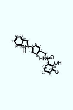 O=C(NCc1ccc(-c2cc3ccccc3[nH]2)cc1)c1occc(=O)c1O